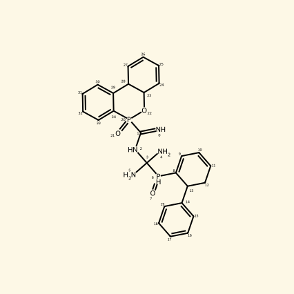 N=C(NC(N)(N)[PH](=O)C1=CC=CCC1c1ccccc1)P1(=O)OC2C=CC=CC2c2ccccc21